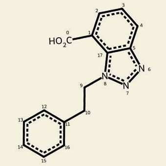 O=C(O)c1cccc2nnn(CCc3ccccc3)c12